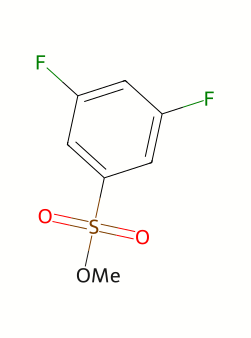 COS(=O)(=O)c1cc(F)cc(F)c1